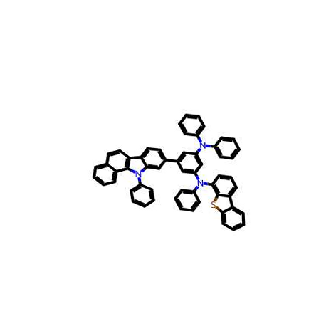 c1ccc(N(c2ccccc2)c2cc(-c3ccc4c5ccc6ccccc6c5n(-c5ccccc5)c4c3)cc(N(c3ccccc3)c3cccc4c3sc3ccccc34)c2)cc1